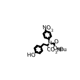 CC(C)(C)OC(=O)N(c1ccc([N+](=O)[O-])cc1)[C@@H](Cc1ccc(O)cc1)C(=O)O